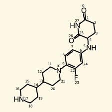 O=C1CCC(Nc2ccc(N3CCC(C4CCNCC4)CC3)c(F)c2)C(=O)N1